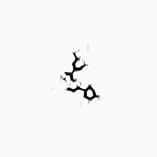 Cc1cc(-c2cc(C(F)(F)F)n3ncc(-c4ccnc(CO)c4)c3n2)ccc1Cl